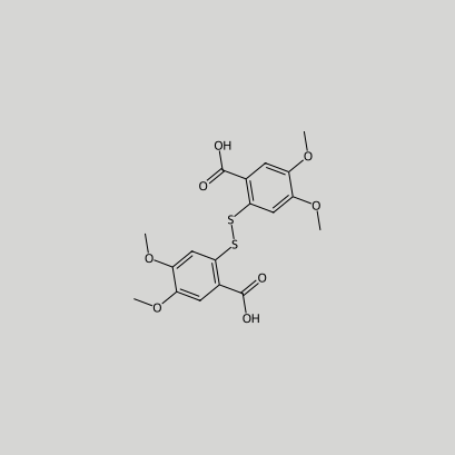 COc1cc(SSc2cc(OC)c(OC)cc2C(=O)O)c(C(=O)O)cc1OC